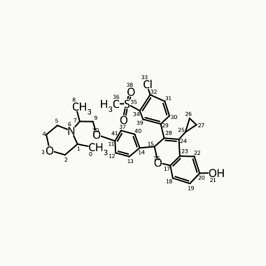 CC1COCCN1C(C)COc1ccc(C2Oc3ccc(O)cc3C(C3CC3)=C2c2ccc(Cl)c(S(C)(=O)=O)c2)cc1